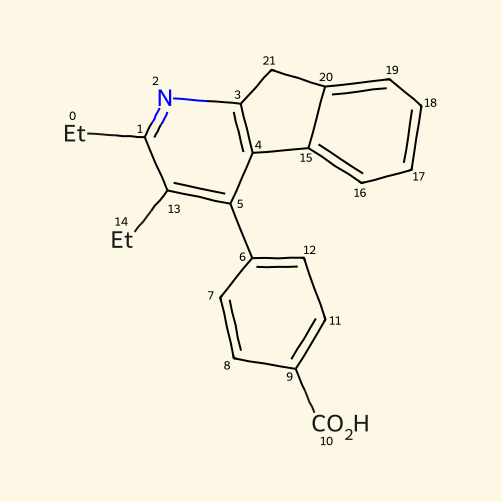 CCc1nc2c(c(-c3ccc(C(=O)O)cc3)c1CC)-c1ccccc1C2